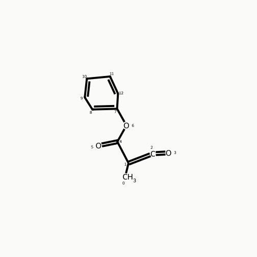 CC(=C=O)C(=O)Oc1ccccc1